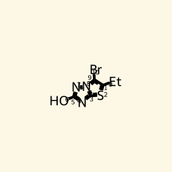 CCc1sc2nc(O)nn2c1Br